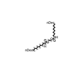 CCCCCCCCCCCCCCCCCCNC(=O)OCCOC(=O)NCCCCCCCCCCCCCCCCCC